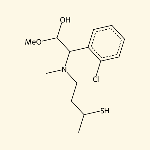 COC(O)C(c1ccccc1Cl)N(C)CCC(C)S